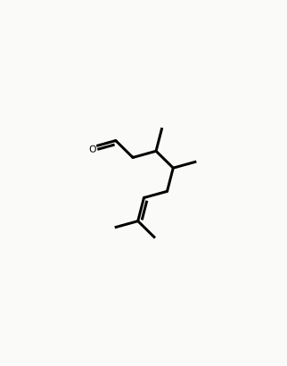 CC(C)=CCC(C)C(C)CC=O